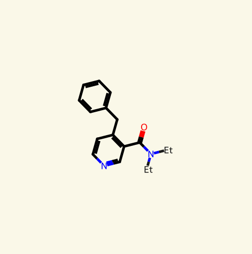 CCN(CC)C(=O)c1cnccc1Cc1ccccc1